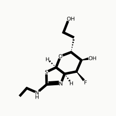 CCNC1=N[C@@H]2[C@H](F)[C@H](O)[C@@H](CCO)O[C@@H]2S1